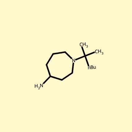 CCCCC(C)(C)N1CCCC(N)CC1